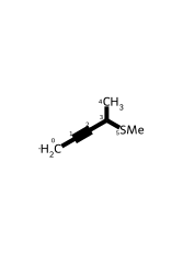 [CH2]C#CC(C)SC